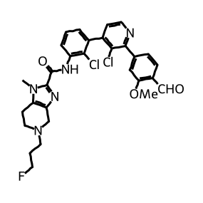 COc1cc(-c2nccc(-c3cccc(NC(=O)c4nc5c(n4C)CCN(CCCF)C5)c3Cl)c2Cl)ccc1C=O